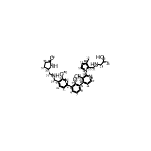 COc1nc(-c2cccc(-c3ccnc(-n4ccc(C)c4CNC[C@H](C)O)c3Cl)c2Cl)ccc1CNC[C@H]1CCC(=O)N1